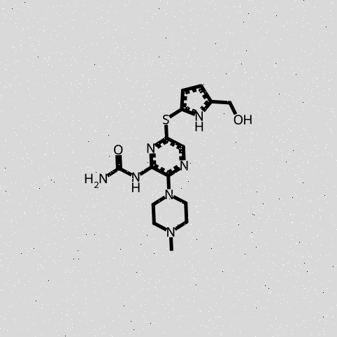 CN1CCN(c2ncc(Sc3ccc(CO)[nH]3)nc2NC(N)=O)CC1